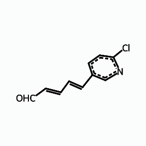 O=C/C=C/C=Cc1ccc(Cl)nc1